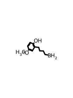 BCCCCc1cc(OC)ccc1O